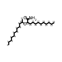 CCCCCCCCCCC(C)OC(CCCCCCCCCC)C(N)=O